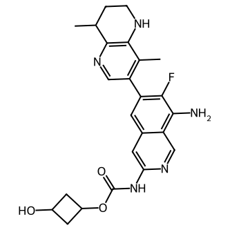 Cc1c(-c2cc3cc(NC(=O)OC4CC(O)C4)ncc3c(N)c2F)cnc2c1NCCC2C